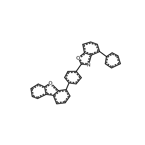 c1ccc(-c2cccc3oc(-c4ccc(-c5cccc6c5oc5ccccc56)cc4)nc23)cc1